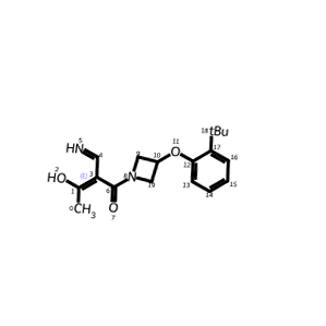 C/C(O)=C(/C=N)C(=O)N1CC(Oc2ccccc2C(C)(C)C)C1